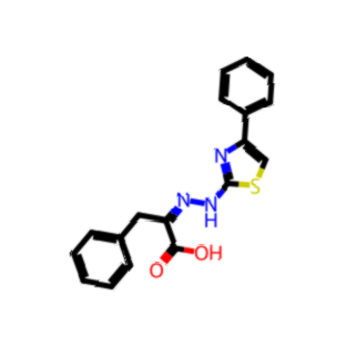 O=C(O)/C(Cc1ccccc1)=N\Nc1nc(-c2ccccc2)cs1